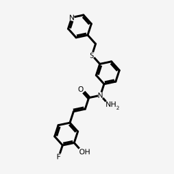 NN(C(=O)/C=C/c1ccc(F)c(O)c1)c1cccc(SCc2ccncc2)c1